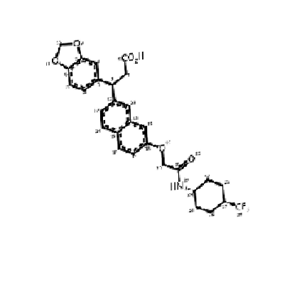 O=C(O)CC(c1ccc2c(c1)OCO2)c1ccc2ccc(OCC(=O)N[C@H]3CC[C@H](C(F)(F)F)CC3)cc2c1